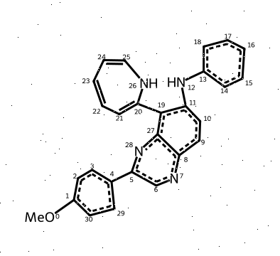 COc1ccc(-c2cnc3ccc(Nc4ccccc4)c(C4=CC=CC=CN4)c3n2)cc1